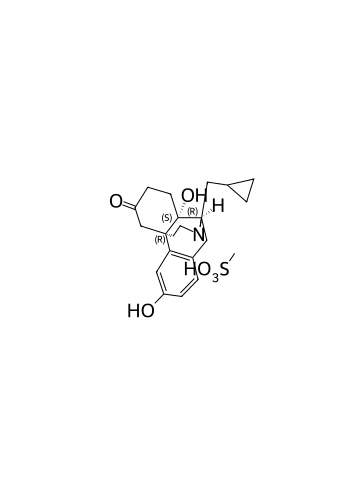 CS(=O)(=O)O.O=C1CC[C@@]2(O)[C@H]3Cc4ccc(O)cc4[C@@]2(CCN3CC2CC2)C1